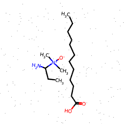 CCC(N)[N+](C)(C)[O-].CCCCCCCCCCCC(=O)O